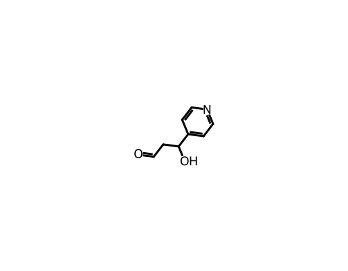 O=CCC(O)c1ccncc1